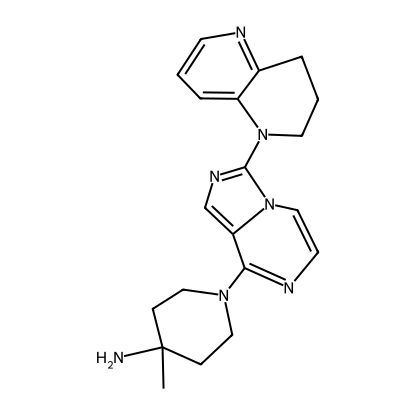 CC1(N)CCN(c2nccn3c(N4CCCc5ncccc54)ncc23)CC1